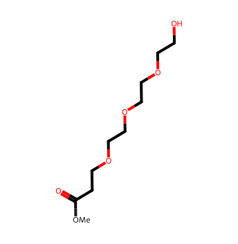 COC(=O)CCOCCOCCOCCO